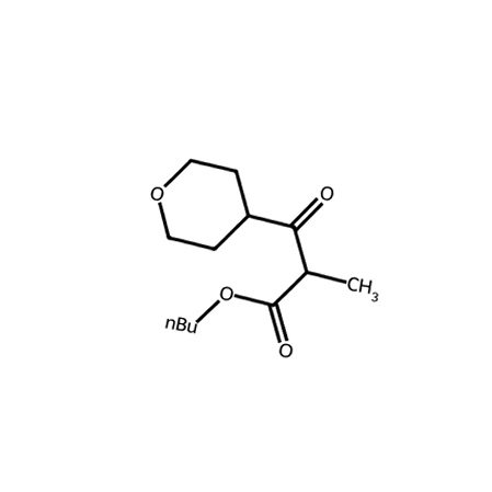 CCCCOC(=O)C(C)C(=O)C1CCOCC1